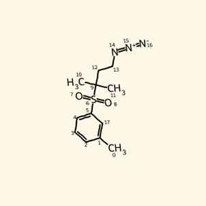 Cc1cccc(S(=O)(=O)C(C)(C)CCN=[N+]=[N-])c1